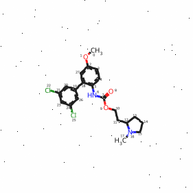 COc1ccc(NC(=O)OCCC2CCCN2C)c(-c2cc(Cl)cc(Cl)c2)c1